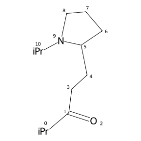 CC(C)C(=O)CCC1CCCN1C(C)C